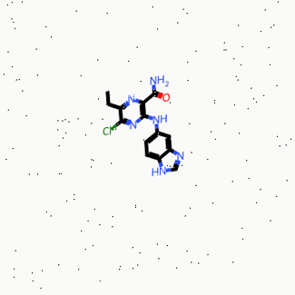 CCc1nc(C(N)=O)c(Nc2ccc3[nH]cnc3c2)nc1Cl